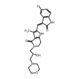 Cc1c(C=C2C(=O)Nc3ccc(Cl)cc32)[nH]c2c1C(=O)N(C[C@@H](O)CN1CCOCC1)CC2